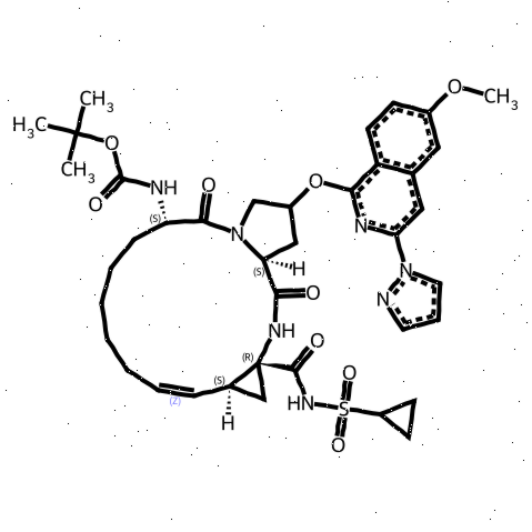 COc1ccc2c(OC3C[C@H]4C(=O)N[C@]5(C(=O)NS(=O)(=O)C6CC6)C[C@H]5/C=C\CCCCC[C@H](NC(=O)OC(C)(C)C)C(=O)N4C3)nc(-n3cccn3)cc2c1